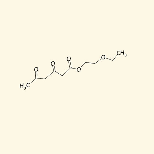 CCOCCOC(=O)CC(=O)CC(C)=O